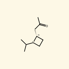 CC(=O)C[C@@H]1CCN1C(C)C